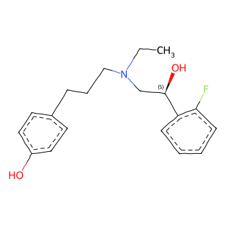 CCN(CCCc1ccc(O)cc1)C[C@@H](O)c1ccccc1F